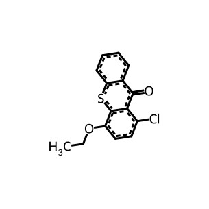 CCOc1ccc(Cl)c2c(=O)c3ccccc3sc12